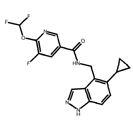 O=C(NCc1c(C2CC2)ccc2[nH]ncc12)c1cnc(OC(F)F)c(F)c1